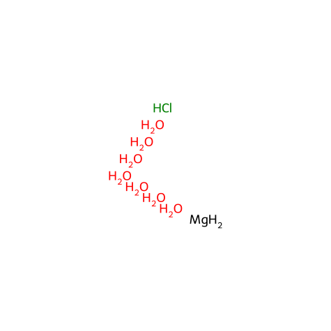 Cl.O.O.O.O.O.O.O.[MgH2]